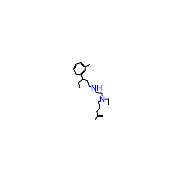 C=C(C)CCCN(CC)CCNCCC(CC)C1=CC(C)=CC=CC1